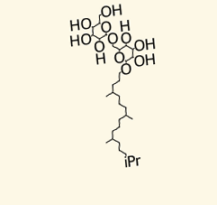 CC(C)CCCC(C)CCCC(C)CCCC(C)CCCOC1OC(COC2OC(CO)C(O)C(O)C2O)C(O)C(O)C1O